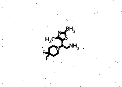 Bc1nc(C)c(C(CN)N2CCC(F)(F)CC2)s1